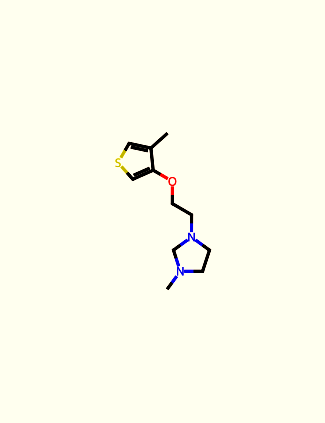 Cc1cscc1OCCN1CCN(C)C1